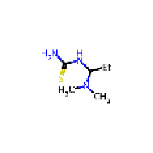 CCC(NC(N)=S)N(C)C